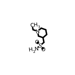 CCN1CCCC(CS(N)(=O)=O)C1